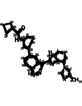 Cc1cn(-c2cncc3[nH]c(-c4n[nH]c5ccc(-c6cncc(NC(=O)C7CCC7)c6)cc45)nc23)cn1